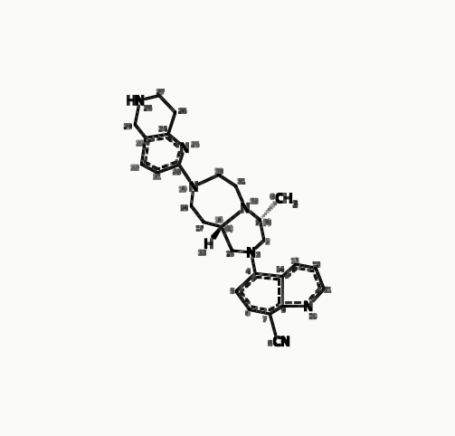 C[C@@H]1CN(c2ccc(C#N)c3ncccc23)C[C@@H]2CCN(c3ccc4c(n3)CCNC4)CCN21